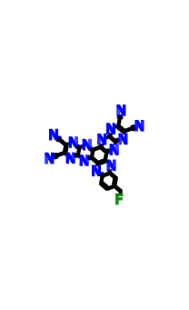 N#Cc1nc2nc3c4nc5ccc(CF)cc5nc4c4nc5nc(C#N)c(C#N)nc5nc4c3nc2nc1C#N